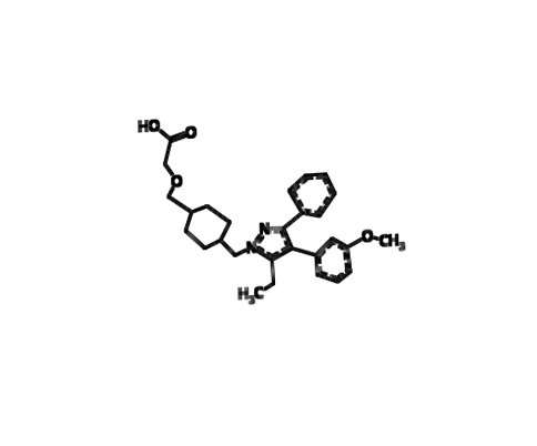 CCc1c(-c2cccc(OC)c2)c(-c2ccccc2)nn1CC1CCC(COCC(=O)O)CC1